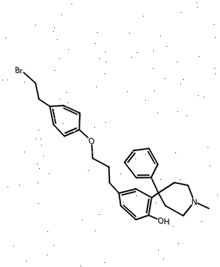 CN1CCC(c2ccccc2)(c2cc(CCCOc3ccc(CCBr)cc3)ccc2O)CC1